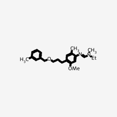 CCN(C)/C=N/c1cc(OC)c(CCCOCc2cccc(C)c2)cc1C